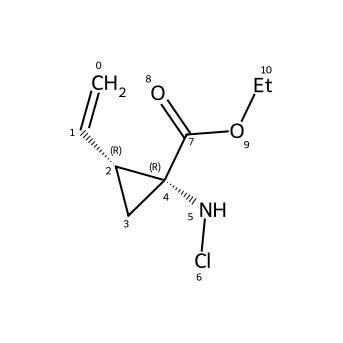 C=C[C@H]1C[C@]1(NCl)C(=O)OCC